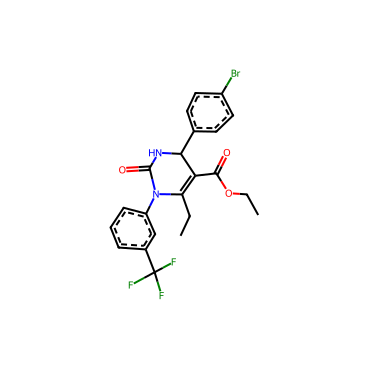 CCOC(=O)C1=C(CC)N(c2cccc(C(F)(F)F)c2)C(=O)NC1c1ccc(Br)cc1